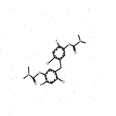 CN(C)C(=O)Oc1cc(Cc2cc(OC(=O)N(C)C)c(F)cc2Cl)c(Cl)cc1F